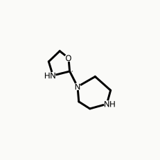 C1CN([C]2NCCO2)CCN1